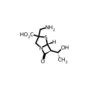 C[C@@H](O)[C@H]1C(=O)N2CC(CN)(C(=O)O)S[C@H]12